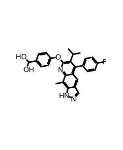 Cc1c2nc(Oc3ccc(C(O)O)cc3)c(C(C)C)c(-c3ccc(F)cc3)c2cc2cn[nH]c12